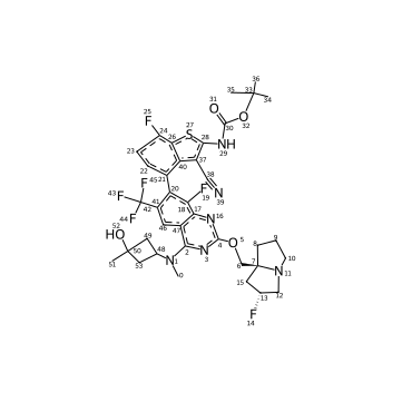 CN(c1nc(OC[C@@]23CCCN2C[C@H](F)C3)nc2c(F)c(-c3ccc(F)c4sc(NC(=O)OC(C)(C)C)c(C#N)c34)c(C(F)(F)F)cc12)C1CC(C)(O)C1